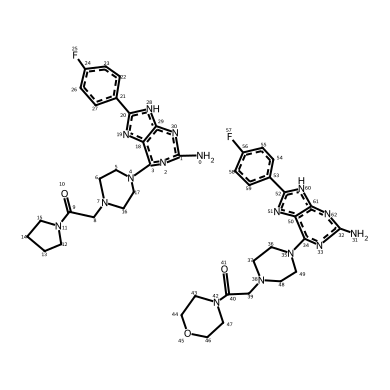 Nc1nc(N2CCN(CC(=O)N3CCCC3)CC2)c2nc(-c3ccc(F)cc3)[nH]c2n1.Nc1nc(N2CCN(CC(=O)N3CCOCC3)CC2)c2nc(-c3ccc(F)cc3)[nH]c2n1